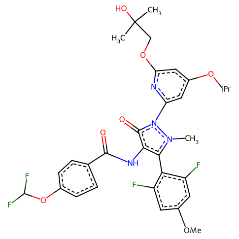 COc1cc(F)c(-c2c(NC(=O)c3ccc(OC(F)F)cc3)c(=O)n(-c3cc(OC(C)C)cc(OCC(C)(C)O)n3)n2C)c(F)c1